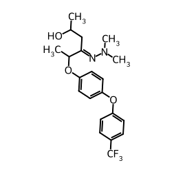 CC(O)CC(=NN(C)C)C(C)Oc1ccc(Oc2ccc(C(F)(F)F)cc2)cc1